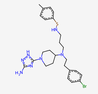 Cc1ccc(SNCCCN(CCc2ccc(Br)cc2)C2CCN(c3nc(N)n[nH]3)CC2)cc1